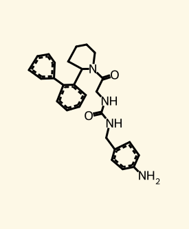 Nc1ccc(CNC(=O)NCC(=O)N2CCCCC2c2ccccc2-c2ccccc2)cc1